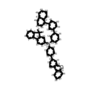 CC1(C)c2ccccc2-c2ccc(N(c3ccc(-c4ccc5c(c4)oc4ccccc45)cc3)c3cccc(-c4cccc(-c5cccc6ccccc56)c4)c3)cc21